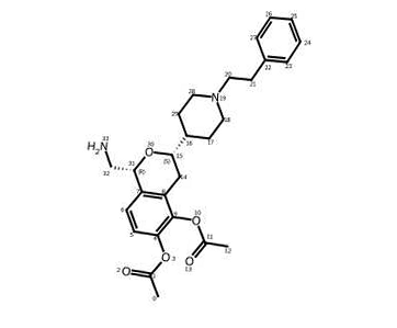 CC(=O)Oc1ccc2c(c1OC(C)=O)C[C@@H](C1CCN(CCc3ccccc3)CC1)O[C@H]2CN